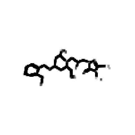 CCC1CC(OCc2ccccc2CF)CC(C)N1C[C@H](F)Cn1nc(C)n(C)c1=O